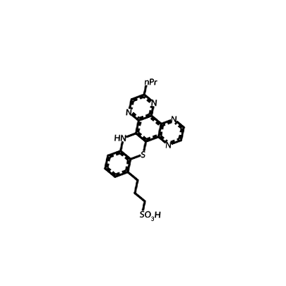 CCCc1cnc2c3c(c4nccnc4c2n1)Sc1c(CCCS(=O)(=O)O)cccc1N3